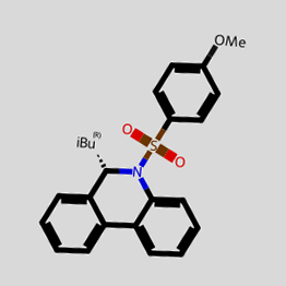 CC[C@@H](C)C1c2ccccc2-c2ccccc2N1S(=O)(=O)c1ccc(OC)cc1